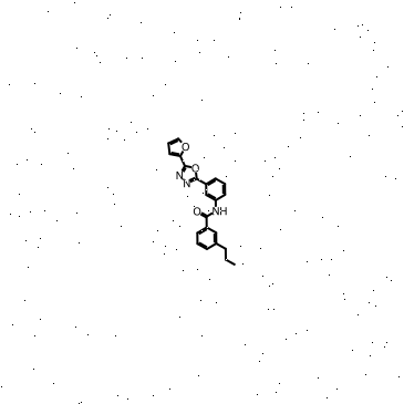 CCCc1cccc(C(=O)Nc2cccc(-c3nnc(-c4ccco4)o3)c2)c1